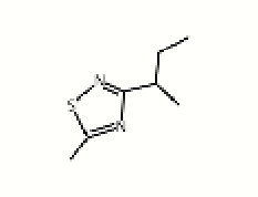 CCC(C)c1nsc(C)n1